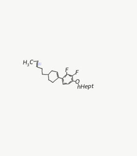 C/C=C/CCC1CC=C(c2ccc(OCCCCCCC)c(F)c2F)CC1